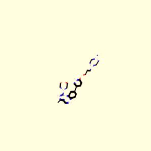 Cc1nc(N2C[C@@H](C)O[C@@H](C)C2)n2c1cnc1ccc(-c3ccc(OCCCN4CCN(C)CC4)nc3)cc12